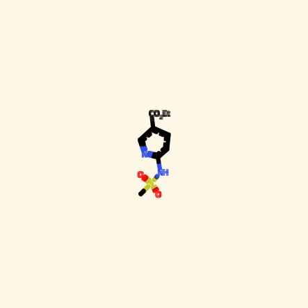 CCOC(=O)c1ccc(NS(C)(=O)=O)nc1